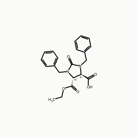 CCOC(=O)[C@H]1[C@H](C(=O)O)N(Cc2ccccc2)C(=O)N1Cc1ccccc1